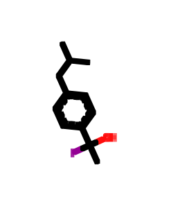 CC(C)Cc1ccc(C(C)(O)I)cc1